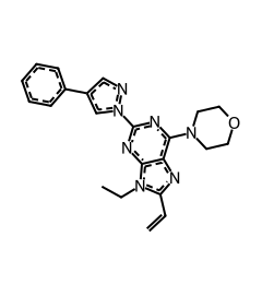 C=Cc1nc2c(N3CCOCC3)nc(-n3cc(-c4ccccc4)cn3)nc2n1CC